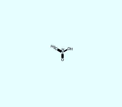 O=[SH](=O)O.[Hg]